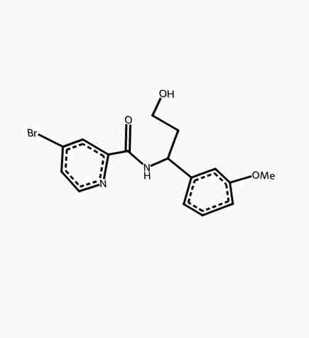 COc1cccc(C(CCO)NC(=O)c2cc(Br)ccn2)c1